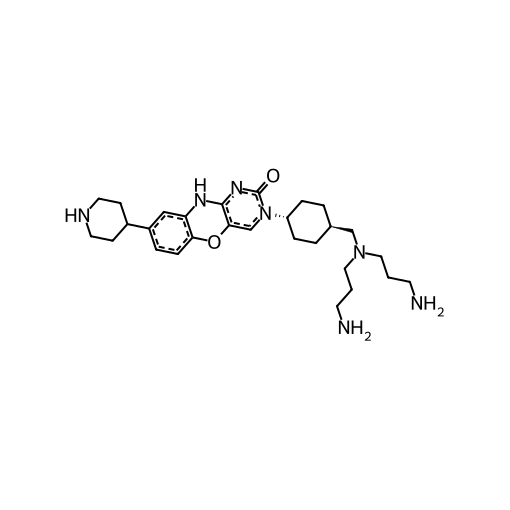 NCCCN(CCCN)C[C@H]1CC[C@H](n2cc3c(nc2=O)Nc2cc(C4CCNCC4)ccc2O3)CC1